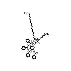 CCCCCCCCCCCCCCCCCC(=O)NC(CO[C@@H]1O[C@H](COC(=O)c2ccccc2)[C@H](OC(=O)c2ccccc2)[C@H](OC(=O)c2ccccc2)[C@H]1OC(=O)c1ccccc1)C(=O)NCCCCCC